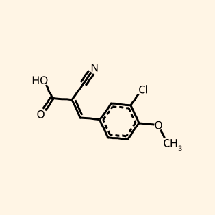 COc1ccc(/C=C(\C#N)C(=O)O)cc1Cl